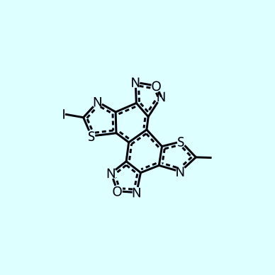 Cc1nc2c3nonc3c3c4sc(I)nc4c4nonc4c3c2s1